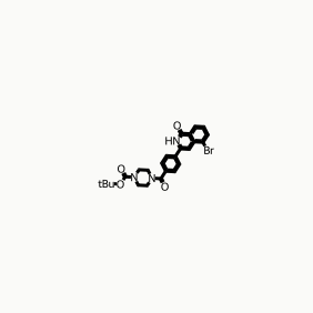 CC(C)(C)OC(=O)N1CCN(C(=O)c2ccc(-c3cc4c(Br)cccc4c(=O)[nH]3)cc2)CC1